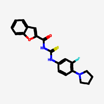 O=C(NC(=S)Nc1ccc(N2CCCC2)c(F)c1)c1cc2ccccc2o1